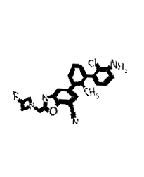 Cc1c(-c2cc(C#N)c3oc(CN4CC(F)C4)nc3c2)cccc1-c1cccc(N)c1Cl